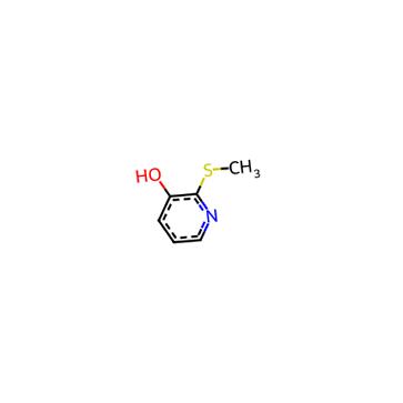 CSc1ncccc1O